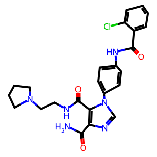 NC(=O)c1ncn(-c2ccc(NC(=O)c3ccccc3Cl)cc2)c1C(=O)NCCN1CCCC1